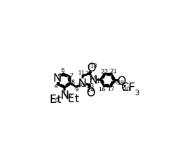 CCN(CC)c1cnccc1CN1CC(=O)N(c2ccc(OC(F)(F)F)cc2)C1=O